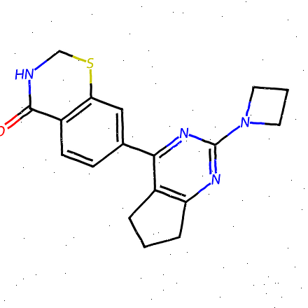 O=C1NCSc2cc(-c3nc(N4CCC4)nc4c3CCC4)ccc21